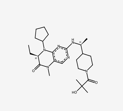 CC[C@@H]1C(=O)N(C)c2cnc(N[C@@H](C)C3CCN(C(=O)C(C)(C)O)CC3)nc2N1C1CCCC1